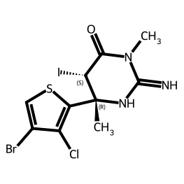 CN1C(=N)N[C@](C)(c2scc(Br)c2Cl)[C@H](I)C1=O